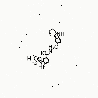 CS(=O)(=O)Nc1cc(C(O)CNCCOc2ccc3[nH]c4c(c3c2)CCCCC4)ccc1F